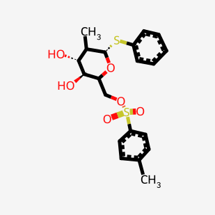 Cc1ccc(S(=O)(=O)OCC2O[C@@H](Sc3ccccc3)C(C)[C@@H](O)[C@@H]2O)cc1